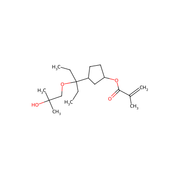 C=C(C)C(=O)OC1CCC(C(CC)(CC)OCC(C)(C)O)C1